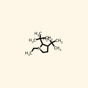 CCN1CCC(C(C)(C)C)C1C(C)(C)C